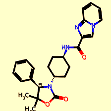 CC1(C)OC(=O)N([C@H]2CC[C@H](NC(=O)c3cn4ccccc4n3)CC2)[C@@H]1c1ccccc1